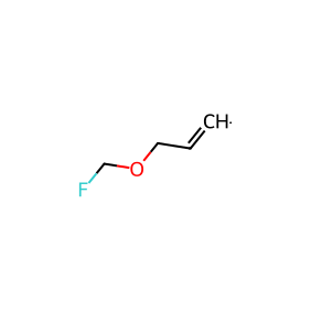 [CH]=CCOCF